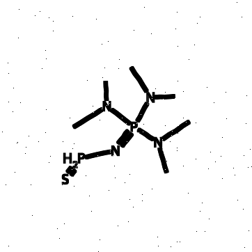 CN(C)P(=N[PH2]=S)(N(C)C)N(C)C